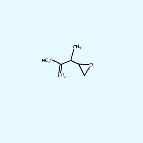 C=C(C(=O)O)C(C)C1CO1